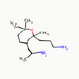 CC(N)C1CC[Si](C)(C)OC1(C)CCCN